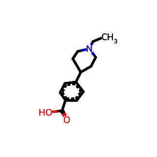 CCN1CCC(c2ccc(C(=O)O)cc2)CC1